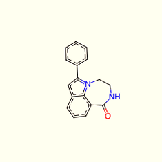 O=C1NCCn2c(-c3ccccc3)cc3cccc1c32